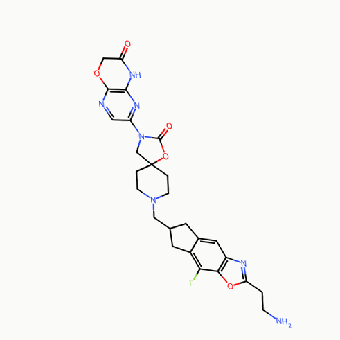 NCCc1nc2cc3c(c(F)c2o1)CC(CN1CCC2(CC1)CN(c1cnc4c(n1)NC(=O)CO4)C(=O)O2)C3